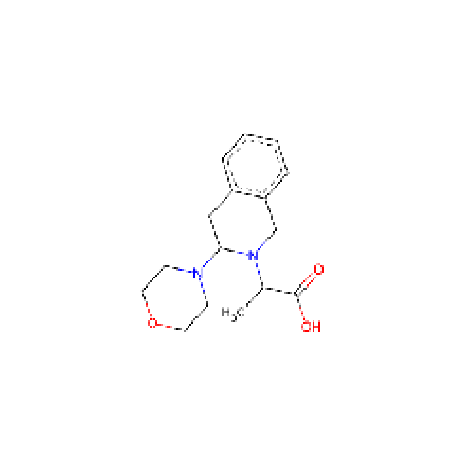 CC(C(=O)O)N1Cc2ccccc2CC1N1CCOCC1